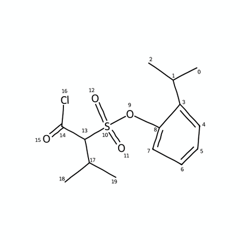 CC(C)c1ccccc1OS(=O)(=O)C(C(=O)Cl)C(C)C